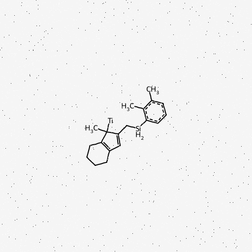 Cc1cccc([SiH2]CC2=CC3=C(CCCC3)[C]2(C)[Ti])c1C